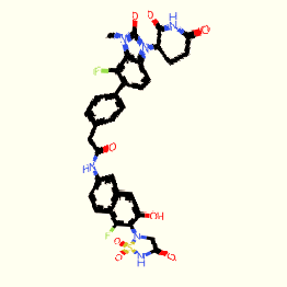 Cn1c(=O)n(C2CCC(=O)NC2=O)c2ccc(-c3ccc(CC(=O)Nc4ccc5c(F)c(N6CC(=O)NS6(=O)=O)c(O)cc5c4)cc3)c(F)c21